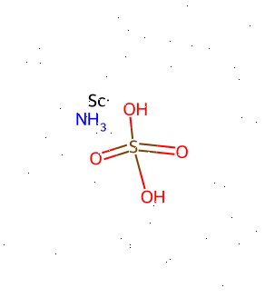 N.O=S(=O)(O)O.[Sc]